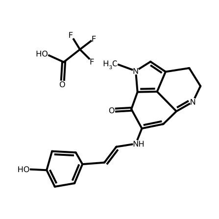 Cn1cc2c3c1C(=O)C(NC=Cc1ccc(O)cc1)=CC3=NCC2.O=C(O)C(F)(F)F